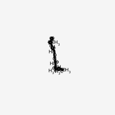 Cc1c(COc2ccc(CNCCOCCOCCC(=O)NCCNC(=O)C(C)c3ccc(CC(C)C)cc3)cn2)cccc1-c1ccccc1